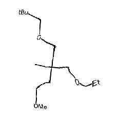 CCOCC(C)(CCOC)COCC(C)(C)C